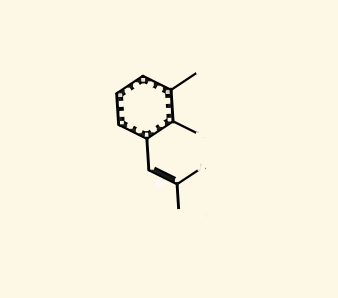 CCOC(=O)/C(N)=C/c1cccc(C)c1Br